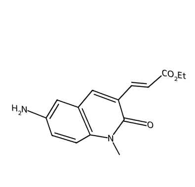 CCOC(=O)/C=C/c1cc2cc(N)ccc2n(C)c1=O